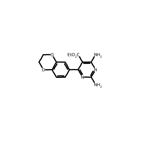 CCOC(=O)c1c(N)nc(N)nc1-c1ccc2c(c1)OCCO2